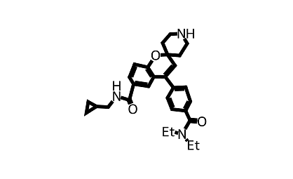 CCN(CC)C(=O)c1ccc(C2=CC3(CCNCC3)Oc3ccc(C(=O)NCC4CC4)cc32)cc1